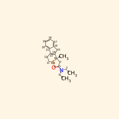 CCN(CC)C(=O)CC1(C)SCCC2=C1Cc1ccccc12